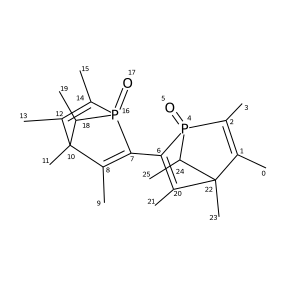 CC1=C(C)P2(=O)C(C3=C(C)C4(C)C(C)=C(C)P3(=O)C4C)=C(C)C1(C)C2C